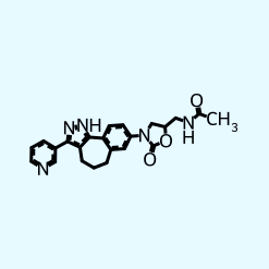 CC(=O)NCC1CN(c2ccc3c(c2)CCCc2c(-c4cccnc4)n[nH]c2-3)C(=O)O1